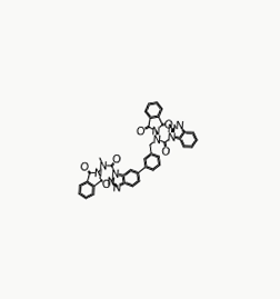 CN(C(=O)n1nnc2ccc(-c3cccc(CN(C(=O)n4nnc5ccccc54)N4C(=O)c5ccccc5C4=O)c3)cc21)N1C(=O)c2ccccc2C1=O